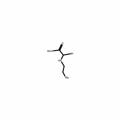 COC(=O)C(NCCC(C)(C)C)C(C)C